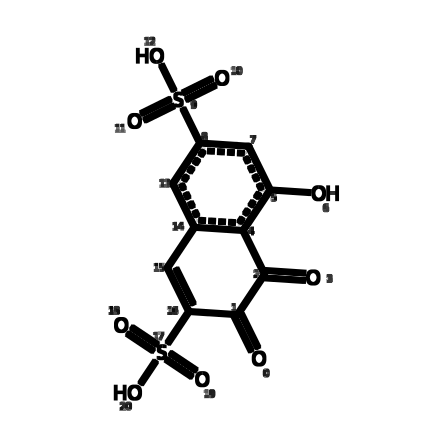 O=C1C(=O)c2c(O)cc(S(=O)(=O)O)cc2C=C1S(=O)(=O)O